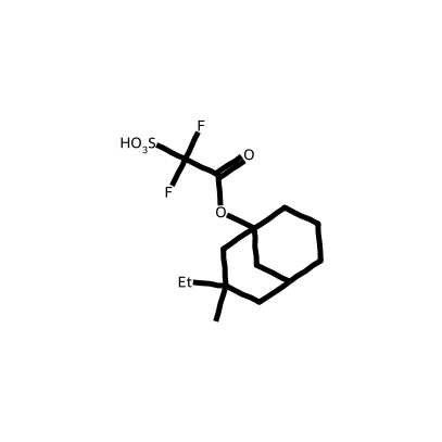 CCC1(C)CC2CCCC(OC(=O)C(F)(F)S(=O)(=O)O)(C2)C1